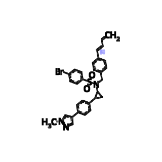 C=C/C=C/c1ccc(CN(C2CC2c2ccc(-c3cnn(C)c3)cc2)S(=O)(=O)c2ccc(Br)cc2)cc1